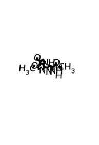 CNC(=O)c1cc(-c2ncc(OC)c3c(C=O)c[nH]c23)n[nH]1